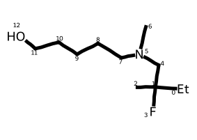 CCC(C)(F)CN(C)CCCCCO